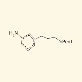 CCCCCCCCc1cccc(N)c1